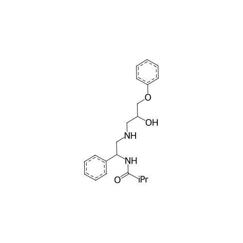 CC(C)C(=O)NC(CNCC(O)COc1ccccc1)c1ccccc1